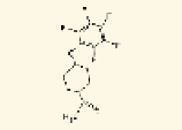 CC(=S)N1CCC(Oc2c(F)c(F)c(F)c(F)c2F)CC1